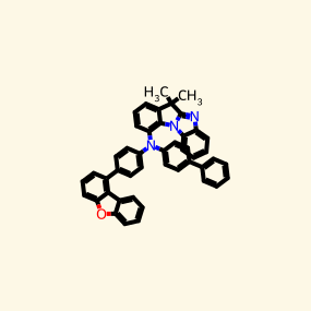 CC1(C)c2cccc(N(c3ccc(-c4ccccc4)cc3)c3ccc(-c4cccc5oc6ccccc6c45)cc3)c2-n2c1nc1ccccc12